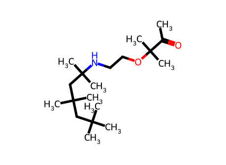 CC(=O)C(C)(C)OCCNC(C)(C)CC(C)(C)CC(C)(C)C